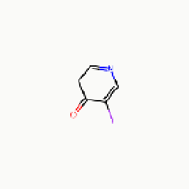 O=C1CC=NC=C1I